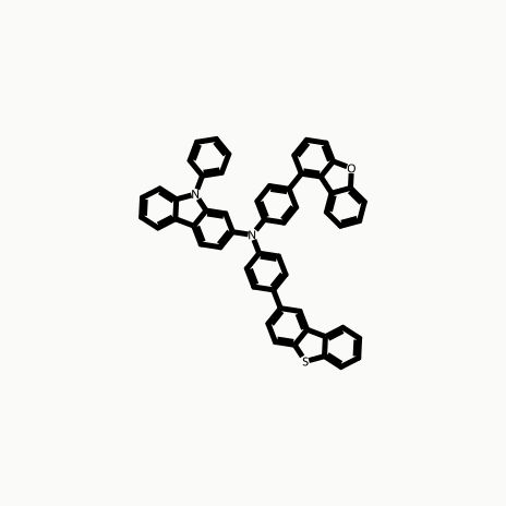 c1ccc(-n2c3ccccc3c3ccc(N(c4ccc(-c5ccc6sc7ccccc7c6c5)cc4)c4ccc(-c5cccc6oc7ccccc7c56)cc4)cc32)cc1